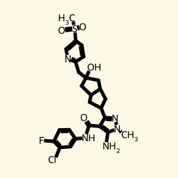 Cn1nc(C2CC3CC(O)(Cc4ccc(S(C)(=O)=O)cn4)CC3C2)c(C(=O)Nc2ccc(F)c(Cl)c2)c1N